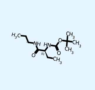 CC[CH]NC(=O)[C@H](CC)NC(=O)OC(C)(C)C